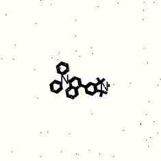 CN1C(C)(C)c2ccc(-c3ccc(N(c4ccccc4)c4ccccc4)c4ccccc34)cc2C1(C)C